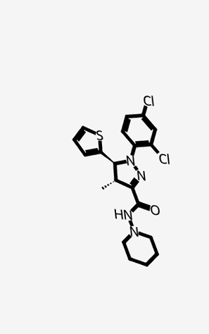 C[C@H]1C(C(=O)NN2CCCCC2)=NN(c2ccc(Cl)cc2Cl)[C@@H]1c1cccs1